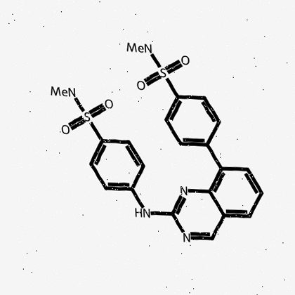 CNS(=O)(=O)c1ccc(Nc2ncc3cccc(-c4ccc(S(=O)(=O)NC)cc4)c3n2)cc1